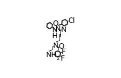 NCCCN(CCC#Cc1nc2cc(Cl)ccc2c(=O)n1Nc1ccccc1)C(=O)c1cccc(F)c1F